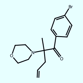 C=CCC(C)(C(=O)c1ccc(Br)cc1)N1CCOCC1